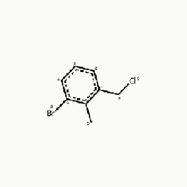 Cc1c(Br)cccc1CCl